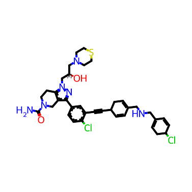 NC(=O)N1CCc2c(c(-c3ccc(Cl)c(C#CC4C=CC(CNCC5=CCC(Cl)C=C5)=CC4)c3)nn2C[C@H](O)CN2CCSCC2)C1